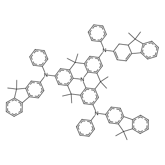 CC1(C)c2ccccc2-c2ccc(N(c3ccccc3)c3cc4c5c(c3)C(C)(C)c3cc(N(c6ccccc6)c6ccc7c(c6)C(C)(C)c6ccccc6-7)cc6c3N5c3c(cc(N(C5=CC=C7c8ccccc8C(C)(C)C7C5)c5ccccc5)cc3C6(C)C)C4(C)C)cc21